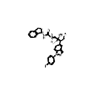 CC(C)CC(c1ccc2c(cnn2-c2ccc(F)cc2)c1)C(C)(C)CNC(=O)N[C@H]1CCc2ccccc21